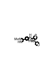 CN/C=C(\C=N)c1ccc(NC(N)C2=C(NC3CCOCC3)CCN(C)C2)c(F)c1